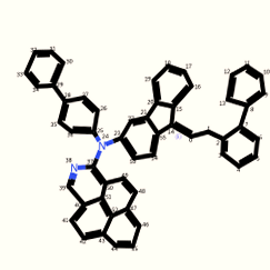 C(/Cc1ccccc1-c1ccccc1)=C1/c2ccccc2-c2cc(N(c3ccc(-c4ccccc4)cc3)c3ncc4ccc5cccc6ccc3c4c56)ccc21